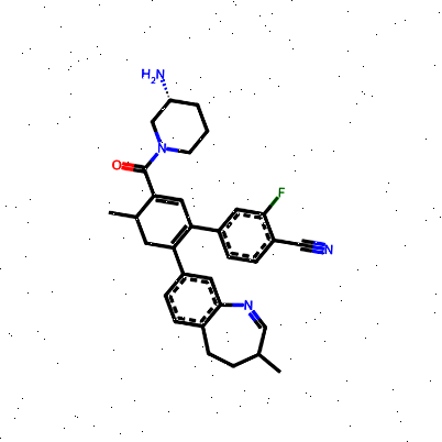 CC1C=Nc2cc(C3=C(c4ccc(C#N)c(F)c4)C=C(C(=O)N4CCC[C@@H](N)C4)C(C)C3)ccc2CC1